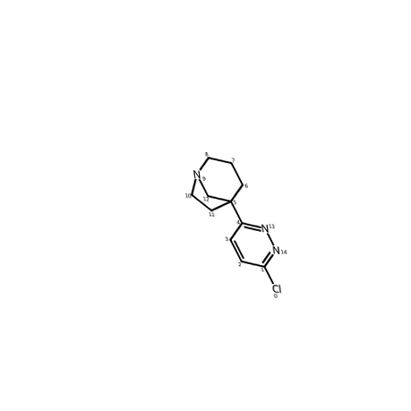 Clc1ccc(C23CCCN(CC2)C3)nn1